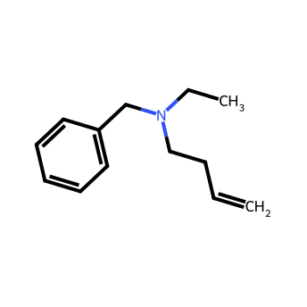 C=CCCN(CC)Cc1ccccc1